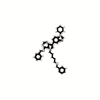 c1ccc(COCCCCCn2cc(-c3ccc4c(c3)ncn4C3CCCCC3)c3ncnc(OCc4ccccc4)c32)cc1